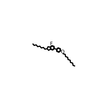 CCCCCCCCCCOc1ccc(-c2cc(F)c3c(c2)CC(CCCCCCCC)C3)cc1